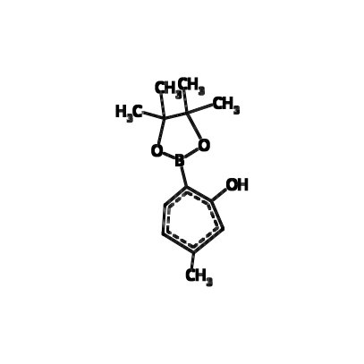 Cc1ccc(B2OC(C)(C)C(C)(C)O2)c(O)c1